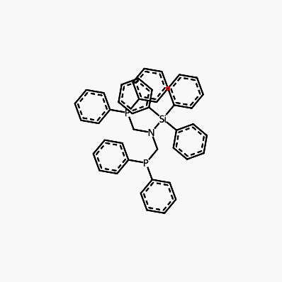 c1ccc(P(CN(CP(c2ccccc2)c2ccccc2)[Si](c2ccccc2)(c2ccccc2)c2ccccc2)c2ccccc2)cc1